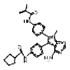 C=C(C)C(=O)Nc1ccc(-c2c(-c3ccc(NC(=O)C4CCCC4)cc3)c3c(N)ncnc3n2C)cc1